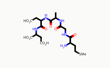 CSCCC(N)C(=O)NCC(=O)NC(C)C(=O)NC(CC(=O)O)C(=O)NC(CC(=O)O)C(=O)O